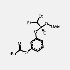 CCC(CC)P(=O)(OOC)Oc1cccc(OC(=O)C(C)(C)C)c1